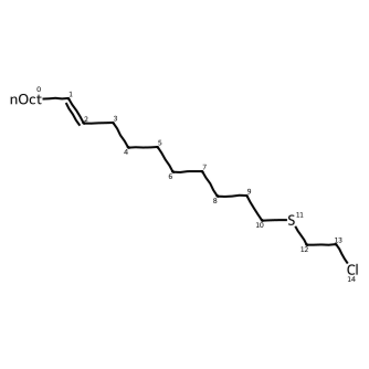 CCCCCCCCC=CCCCCCCCCSCCCl